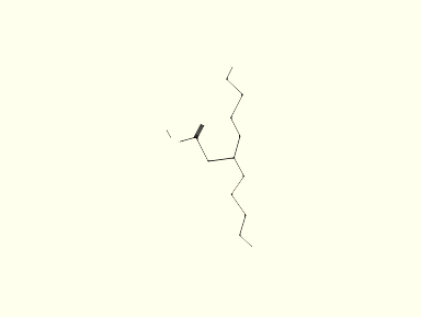 CCCCCC(CCCCC)CC(=O)OC